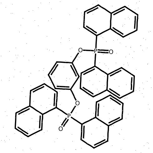 O=P(Oc1cccc(OP(=O)(c2cccc3ccccc23)c2cccc3ccccc23)c1)(c1cccc2ccccc12)c1cccc2ccccc12